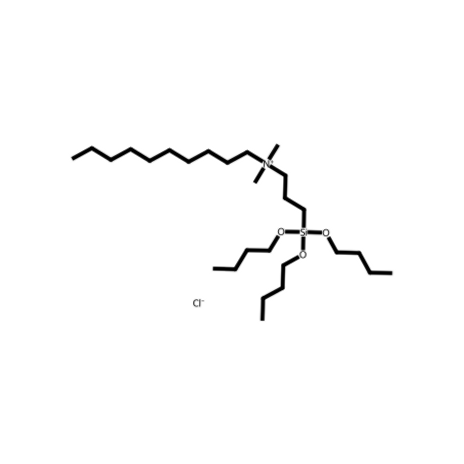 CCCCCCCCCC[N+](C)(C)CCC[Si](OCCCC)(OCCCC)OCCCC.[Cl-]